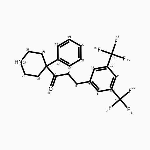 O=C(CCc1cc(C(F)(F)F)cc(C(F)(F)F)c1)C1(c2ccccc2)CCNCC1